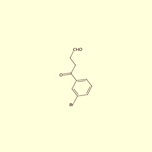 O=CCCC(=O)c1cccc(Br)c1